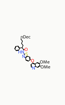 CCCCCCCCCCCCCCC(C(=O)Nc1nc2ccc(Oc3ccnc4cc(OC)c(OC)cc34)cc2s1)c1ccccc1